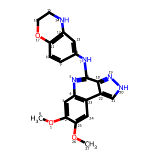 COc1cc2nc(Nc3ccc4c(c3)NCCO4)c3n[nH]cc3c2cc1OC